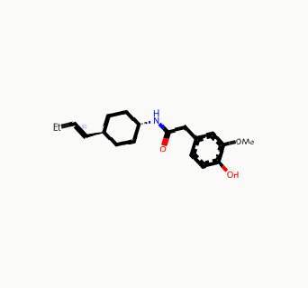 CC/C=C/[C@H]1CC[C@H](NC(=O)Cc2ccc(O)c(OC)c2)CC1